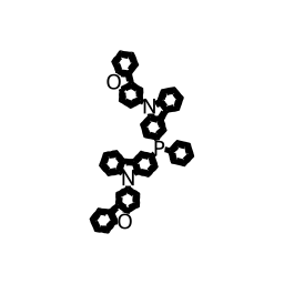 c1ccc(P(c2ccc3c(c2)c2ccccc2n3-c2ccc3oc4ccccc4c3c2)c2ccc3c(c2)c2ccccc2n3-c2ccc3oc4ccccc4c3c2)cc1